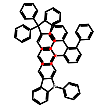 c1ccc(-c2ccccc2-c2c(-c3ccccc3)cccc2N(c2ccc3c(c2)-c2ccccc2C3(c2ccccc2)c2ccccc2)c2ccc3c4ccccc4n(-c4ccccc4)c3c2)cc1